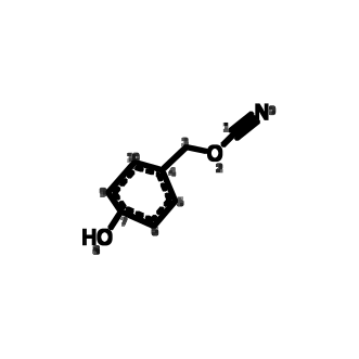 N#COCc1ccc(O)cc1